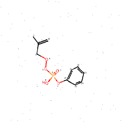 C=C(C)COOP(=O)(O)Oc1ccccc1